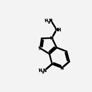 NNn1cnc2c(N)nccc21